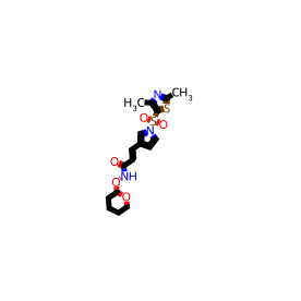 Cc1nc(C)c(S(=O)(=O)n2ccc(C=CC(=O)NOC3CCCCO3)c2)s1